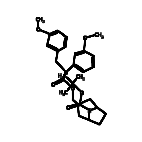 COc1cccc(CN(C(=O)OCC2CC3CCC(C2)N3C(=O)OC(C)(C)C)c2cccc(OC)c2)c1